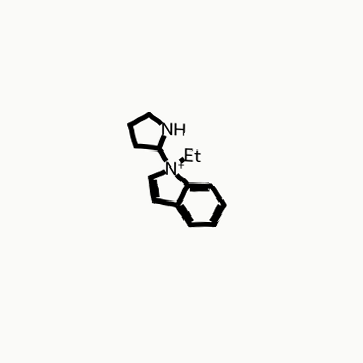 CC[N+]1(C2CCCN2)C=Cc2ccccc21